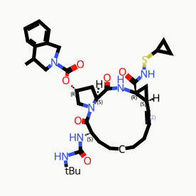 CC1CN(C(=O)O[C@@H]2C[C@H]3C(=O)N[C@]4(C(=O)NSC5CC5)C[C@H]4/C=C\CCCCC[C@H](NC(=O)NC(C)(C)C)C(=O)N3C2)Cc2ccccc21